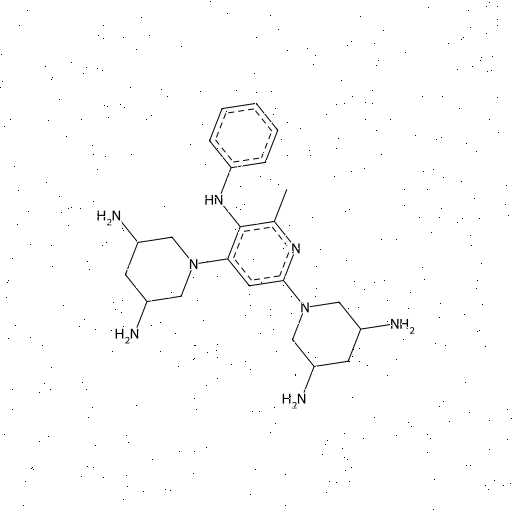 Cc1nc(N2CC(N)CC(N)C2)cc(N2CC(N)CC(N)C2)c1Nc1ccccc1